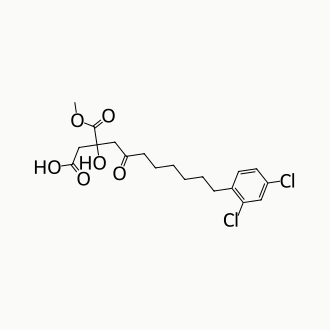 COC(=O)C(O)(CC(=O)O)CC(=O)CCCCCCc1ccc(Cl)cc1Cl